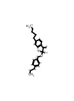 CCCCCc1ccc(C(F)C(F)(F)OCc2ccc(CCC)cc2)cc1